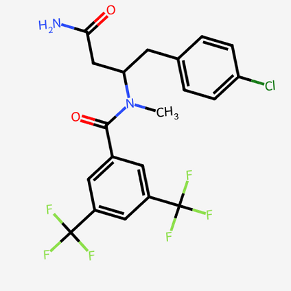 CN(C(=O)c1cc(C(F)(F)F)cc(C(F)(F)F)c1)C(CC(N)=O)Cc1ccc(Cl)cc1